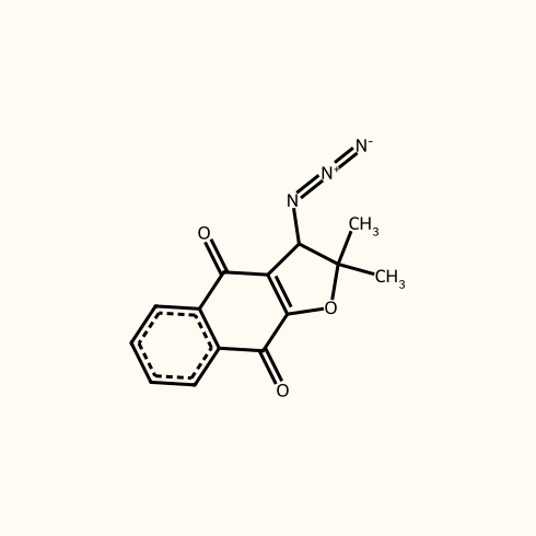 CC1(C)OC2=C(C(=O)c3ccccc3C2=O)C1N=[N+]=[N-]